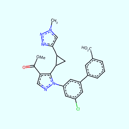 COC(=O)c1cnn(-c2cc(Cl)cc(-c3cccc(C(=O)O)c3)c2)c1C1CC1c1cn(C)nn1